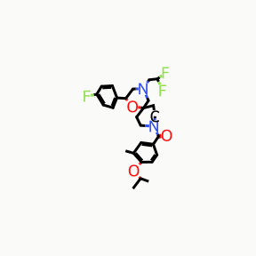 Cc1cc(C(=O)N2CCC3(CC2)CN(CC(F)F)CC(c2ccc(F)cc2)O3)ccc1OC(C)C